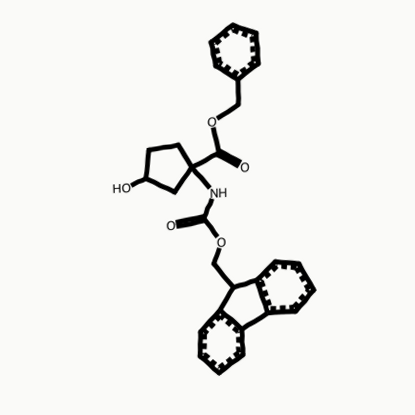 O=C(NC1(C(=O)OCc2ccccc2)CCC(O)C1)OCC1c2ccccc2-c2ccccc21